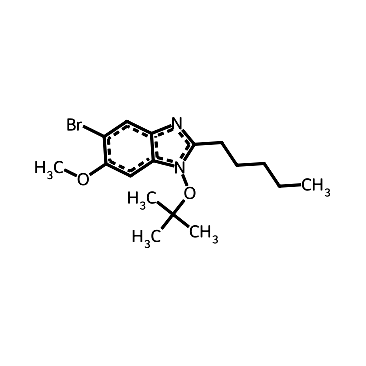 CCCCCc1nc2cc(Br)c(OC)cc2n1OC(C)(C)C